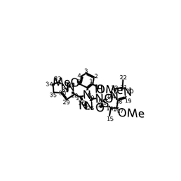 COc1cccc(OC)c1-n1c(NS(=O)(=O)C(C)C(OC)c2cnc(C)cn2)nnc1-c1cc2n(n1)CCC2